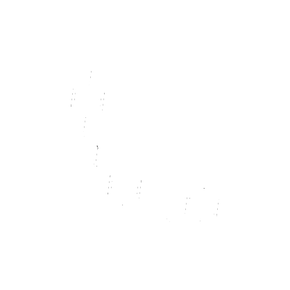 O=S(=O)(Nc1ccccc1)c1ccc(NC(=S)Nc2ccc(Cl)cc2)cc1